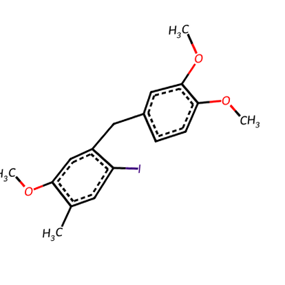 COc1cc(Cc2ccc(OC)c(OC)c2)c(I)cc1C